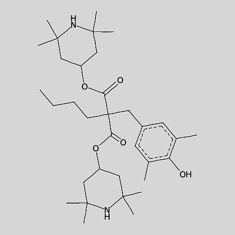 CCCCC(Cc1cc(C)c(O)c(C)c1)(C(=O)OC1CC(C)(C)NC(C)(C)C1)C(=O)OC1CC(C)(C)NC(C)(C)C1